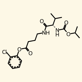 CC(C)OC(=O)N[C@H](C(=O)NCCCC(=O)Oc1ccccc1Cl)C(C)C